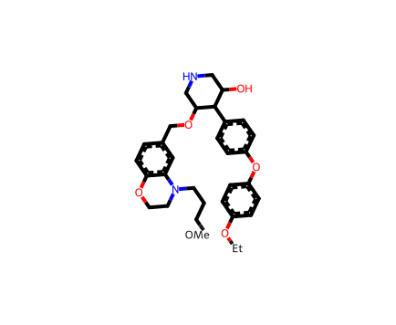 CCOc1ccc(Oc2ccc(C3C(O)CNCC3OCc3ccc4c(c3)N(CCCOC)CCO4)cc2)cc1